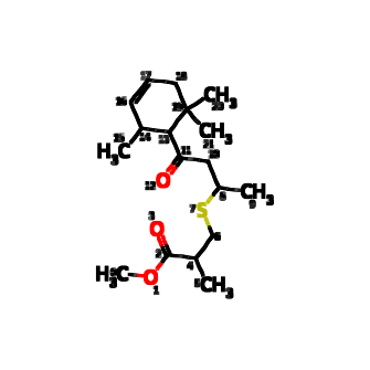 COC(=O)C(C)CSC(C)CC(=O)C1C(C)C=CCC1(C)C